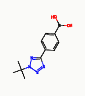 CC(C)(C)n1nnc(-c2ccc(B(O)O)cc2)n1